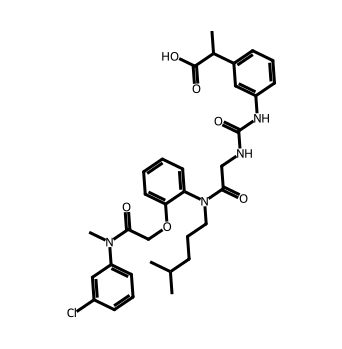 CC(C)CCCN(C(=O)CNC(=O)Nc1cccc(C(C)C(=O)O)c1)c1ccccc1OCC(=O)N(C)c1cccc(Cl)c1